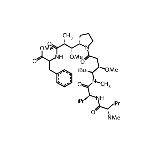 CC[C@H](C)C([C@@H](CC(=O)N1CCC[C@H]1[C@H](OC)[C@@H](C)C(=O)NC(Cc1ccccc1)C(=O)OC)OC)N(C)C(=O)[C@@H](NC(=O)[C@@H](NC)C(C)C)C(C)C